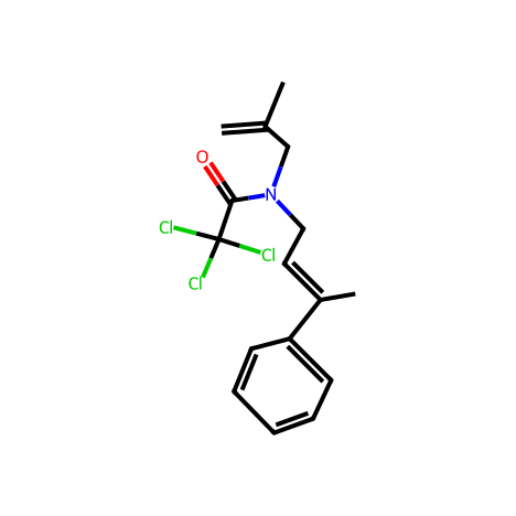 C=C(C)CN(CC=C(C)c1ccccc1)C(=O)C(Cl)(Cl)Cl